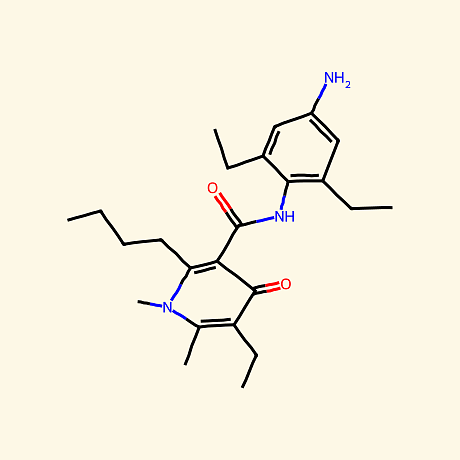 CCCCc1c(C(=O)Nc2c(CC)cc(N)cc2CC)c(=O)c(CC)c(C)n1C